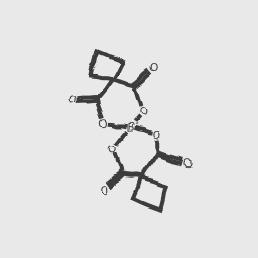 O=C1O[B-]2(OC(=O)C13CCC3)OC(=O)C1(CCC1)C(=O)O2